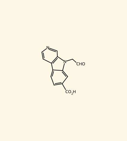 O=CCn1c2cnccc2c2ccc(C(=O)O)cc21